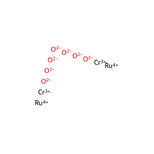 [Cr+3].[Cr+3].[O-2].[O-2].[O-2].[O-2].[O-2].[O-2].[O-2].[Ru+4].[Ru+4]